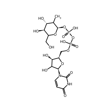 CC1[C@@H](OP(=O)(O)OP(=O)(O)OC[C@H]2O[C@@H](n3ccc(=O)[nH]c3=O)C(O)[C@H]2O)OC(CO)[C@@H](O)[C@@H]1O